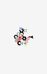 O=C(O[C@@H](Cc1c(Cl)cncc1Cl)c1ccc(OC(F)F)c(OCC2CC2)c1)[C@@H]1CCCCN1S(=O)(=O)c1cccnc1